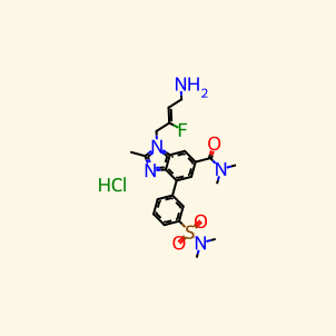 Cc1nc2c(-c3cccc(S(=O)(=O)N(C)C)c3)cc(C(=O)N(C)C)cc2n1C/C(F)=C/CN.Cl